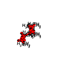 CC(C)(C)c1ccc(N(c2ccc([Si](C)(C)C)cc2)c2ccc3c(c2)C(c2ccccc2)(c2ccccc2)c2cc(N(c4ccc(C(C)(C)C)cc4)c4ccc([Si](C)(C)CCC(C)(C)c5ccc(N(c6ccc(-c7ccccc7)cc6)c6ccc7c(c6)C(c6ccccc6)(c6ccccc6)c6cc(N(c8ccc(-c9ccccc9)cc8)c8ccc(C(C)(C)C)cc8)c8ccccc8c6-7)cc5)cc4)c4ccccc4c2-3)cc1